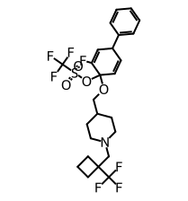 O=S(=O)(OC1(OCC2CCN(CC3(C(F)(F)F)CCC3)CC2)C=CC(c2ccccc2)C=C1F)C(F)(F)F